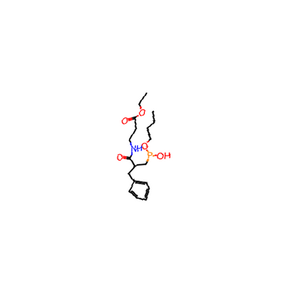 CCCCOP(O)CC(Cc1ccccc1)C(=O)NCCC(=O)OCC